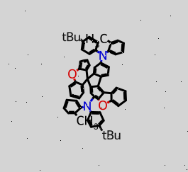 Cc1ccccc1N(c1ccc(C(C)(C)C)cc1)c1ccc2c(c1)C1(c3ccccc3Oc3ccccc31)c1cc(N(c3ccc(C(C)(C)C)cc3)c3ccccc3C)c3oc4ccccc4c3c1-2